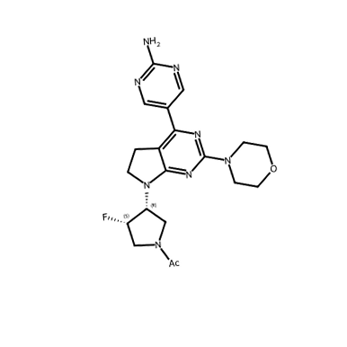 CC(=O)N1C[C@@H](N2CCc3c(-c4cnc(N)nc4)nc(N4CCOCC4)nc32)[C@@H](F)C1